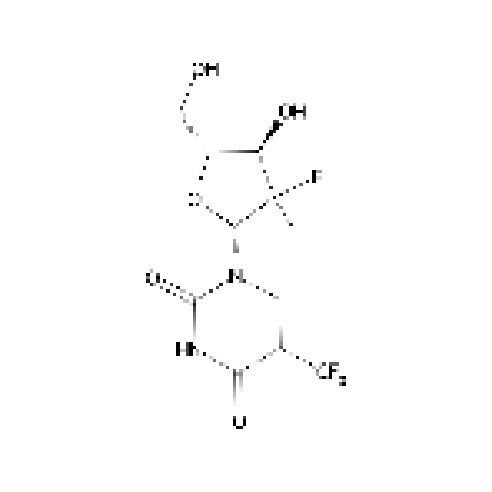 O=c1[nH]c(=O)n([C@@H]2O[C@H](CO)[C@@H](O)C2(F)F)cc1C(F)(F)F